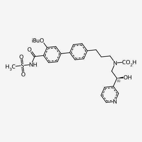 CC(C)COc1cc(-c2ccc(CCCN(C[C@@H](O)c3cccnc3)C(=O)O)cc2)ccc1C(=O)NS(C)(=O)=O